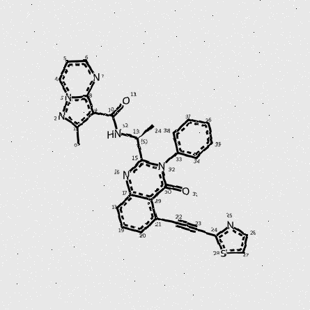 Cc1nn2cccnc2c1C(=O)N[C@@H](C)c1nc2cccc(C#Cc3nccs3)c2c(=O)n1-c1ccccc1